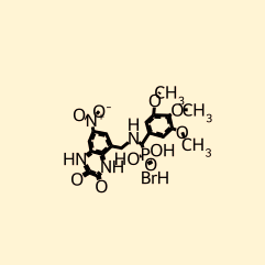 Br.COc1cc(C(NCc2cc([N+](=O)[O-])cc3[nH]c(=O)c(=O)[nH]c23)P(=O)(O)O)cc(OC)c1OC